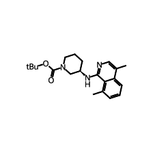 Cc1cnc(N[C@@H]2CCCN(C(=O)OC(C)(C)C)C2)c2c(C)cccc12